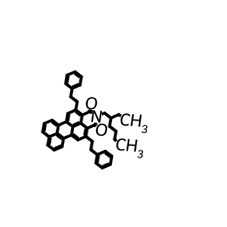 CCCCC(CC)CN1C(=O)c2c(CCc3ccccc3)cc3c4cccc5cccc(c6cc(CCc7ccccc7)c(c2c36)C1=O)c54